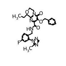 CCC1OCCn2c1nc(C(=O)NCc1ccc(F)cc1-n1ncnc1C)c(OCc1ccccc1)c2=O